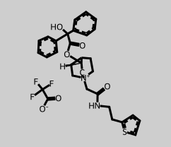 O=C(C[N+]12CCC(CC1)[C@@H](OC(=O)C(O)(c1ccccc1)c1ccccc1)C2)NCCc1cccs1.O=C([O-])C(F)(F)F